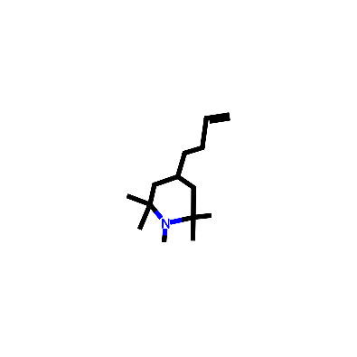 C=CCCC1CC(C)(C)N(C)C(C)(C)C1